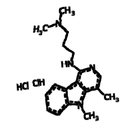 Cc1cnc(NCCCN(C)C)c2c3ccccc3n(C)c12.Cl.Cl